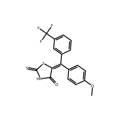 COc1ccc(/C(=C2/SC(=S)NC2=O)c2cccc(C(F)(F)F)c2)cc1